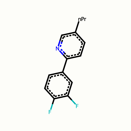 CCCc1ccc(-c2ccc(F)c(F)c2)nc1